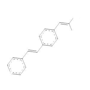 [2H]C(=Cc1ccc(C=Cc2ccncc2)cc1)C(=O)O